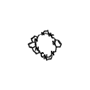 C1=CN2Cc3ccc4ccc5ccc(nc5c4n3)CN3C=CN(Cc4cccc(n4)CN1C2)C3